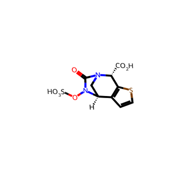 O=C(O)[C@@H]1c2sccc2[C@@H]2CN1C(=O)N2OS(=O)(=O)O